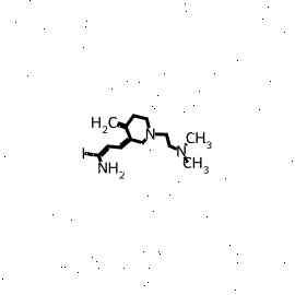 C=C1CCN(CCN(C)C)C/C1=C/C=C(\N)I